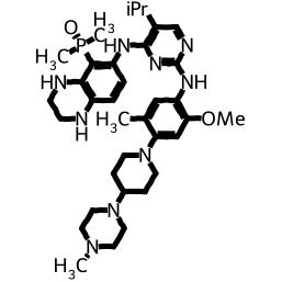 COc1cc(N2CCC(N3CCN(C)CC3)CC2)c(C)cc1Nc1ncc(C(C)C)c(Nc2ccc3c(c2P(C)(C)=O)NCCN3)n1